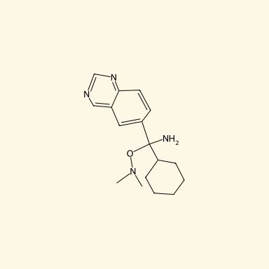 CN(C)OC(N)(c1ccc2ncncc2c1)C1CCCCC1